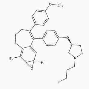 CCC1=C2CCCC(c3ccc(OC(F)(F)F)cc3)=C(c3ccc(O[C@H]4CCN(CCCF)C4)cc3)C2=C[C@H]2OC12